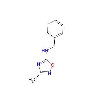 Cc1noc(NCc2ccccc2)n1